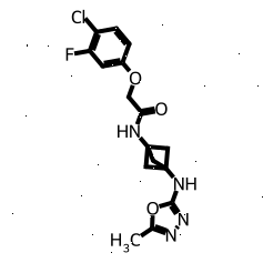 Cc1nnc(NC23CC(NC(=O)COc4ccc(Cl)c(F)c4)(C2)C3)o1